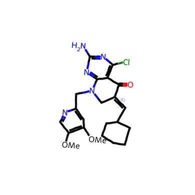 COc1cnc(CN2C/C(=C\C3CCCCC3)C(=O)c3c(Cl)nc(N)nc32)cc1OC